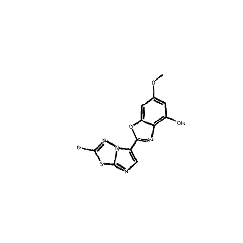 COc1cc(O)c2nc(-c3cnc4sc(Br)nn34)oc2c1